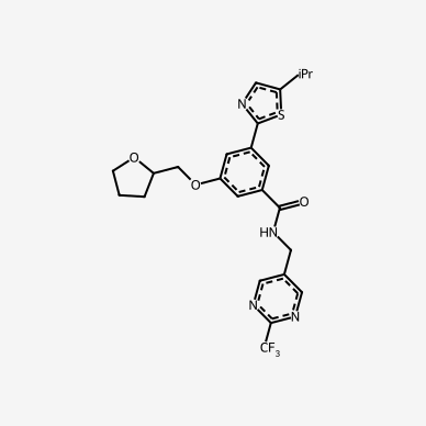 CC(C)c1cnc(-c2cc(OCC3CCCO3)cc(C(=O)NCc3cnc(C(F)(F)F)nc3)c2)s1